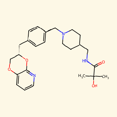 CC(C)(O)C(=O)NCC1CCN(Cc2ccc(C[C@H]3COc4cccnc4O3)cc2)CC1